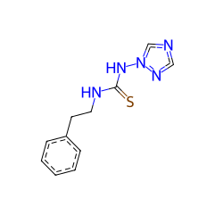 S=C(NCCc1ccccc1)Nn1cncn1